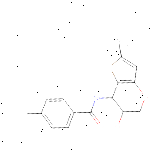 O=C(NC1c2sc([N+](=O)[O-])cc2OCC1O)c1ccc(C(F)(F)F)cc1